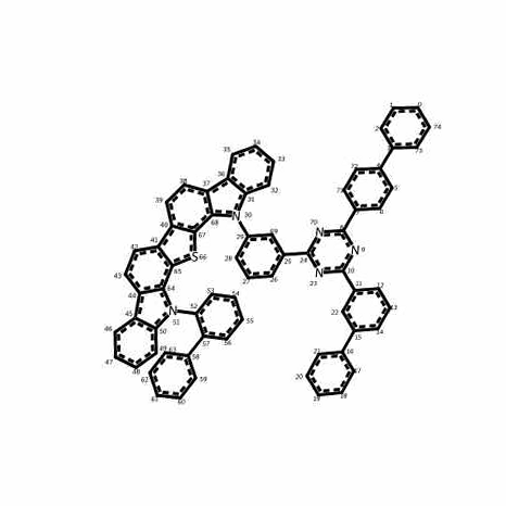 c1ccc(-c2ccc(-c3nc(-c4cccc(-c5ccccc5)c4)nc(-c4cccc(-n5c6ccccc6c6ccc7c8ccc9c%10ccccc%10n(-c%10ccccc%10-c%10ccccc%10)c9c8sc7c65)c4)n3)cc2)cc1